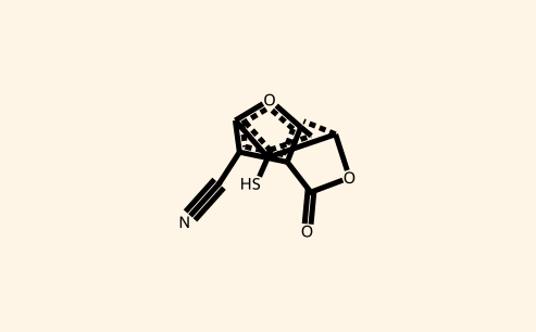 N#Cc1c2c3oc1c(S)c3OC2=O